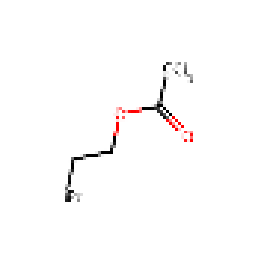 CC(C)CCOC(=O)C(Cl)(Cl)Cl